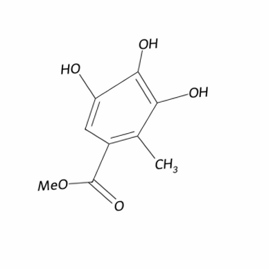 COC(=O)c1cc(O)c(O)c(O)c1C